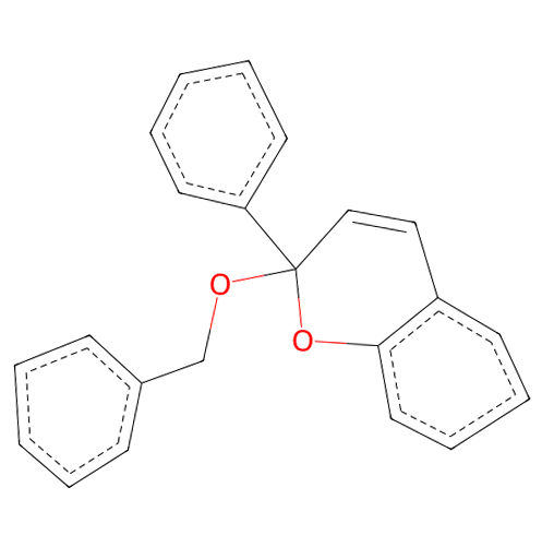 C1=CC(OCc2ccccc2)(c2ccccc2)Oc2ccccc21